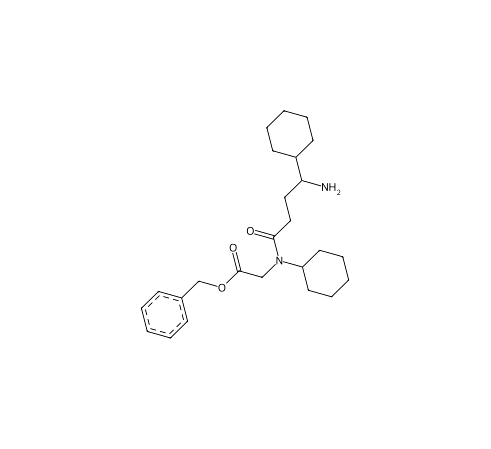 NC(CCC(=O)N(CC(=O)OCc1ccccc1)C1CCCCC1)C1CCCCC1